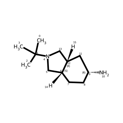 CC(C)(C)N1C[C@H]2CC[C@@H](N)C[C@H]2C1